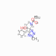 Cn1nnc(C(c2ccccc2)C2(O)CCN(C(=O)OC(C)(C)C)CC2)n1